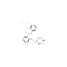 CC(=O)Nc1cccc(CNc2cccc(C=O)c2CN(C)C2CCC(=O)NC2=O)c1F